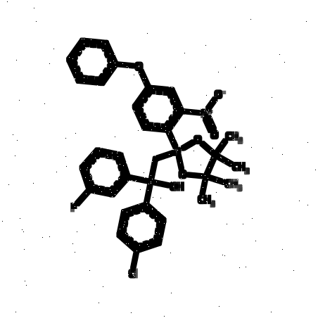 CC1(C)O[B-](CC(O)(c2ccc(Cl)cc2)c2cccc(F)c2)(c2ccc(Oc3ccccc3)cc2[N+](=O)[O-])OC1(C)C